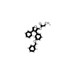 CCC(=O)Oc1occ(-c2ccccc2)c1-c1cccc(OCc2ccccc2)c1